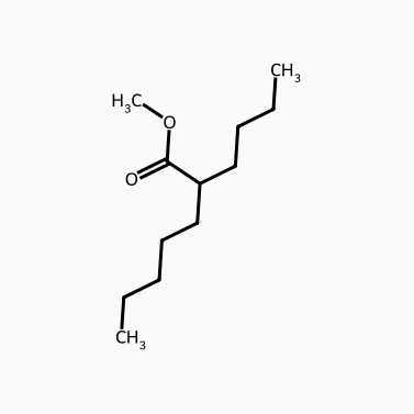 CCCCCC(CCCC)C(=O)OC